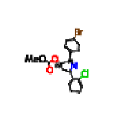 COC(=O)O[C@H]1CC(c2ccccc2Cl)=N[C@@H]1c1ccc(Br)cc1